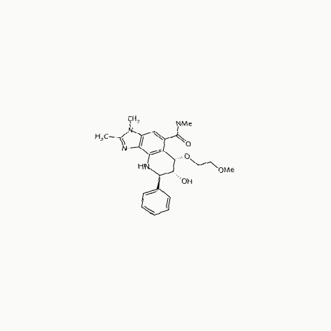 CNC(=O)c1cc2c(nc(C)n2C)c2c1[C@H](OCCOC)[C@H](O)[C@@H](c1ccccc1)N2